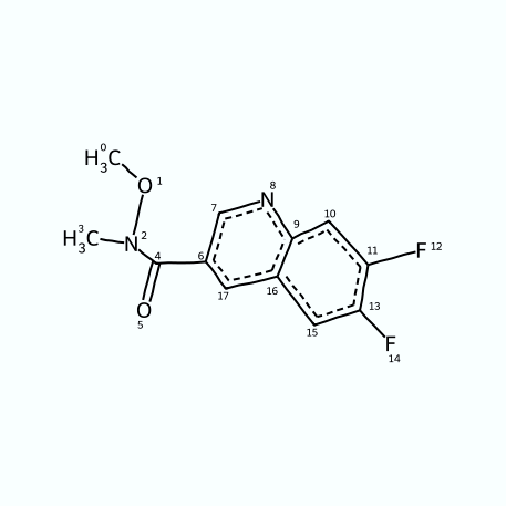 CON(C)C(=O)c1cnc2cc(F)c(F)cc2c1